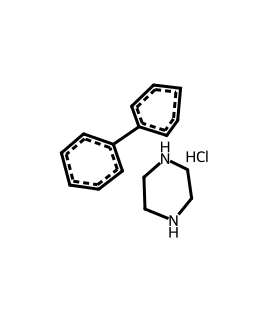 C1CNCCN1.Cl.c1ccc(-c2ccccc2)cc1